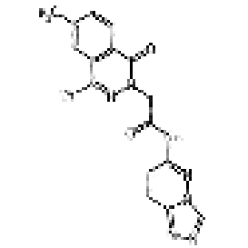 CC(C)c1nn(CC(=O)Nc2ccc3nncn3n2)c(=O)c2ccc(C(F)(F)F)cc12